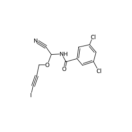 N#CC(NC(=O)c1cc(Cl)cc(Cl)c1)OCC#CI